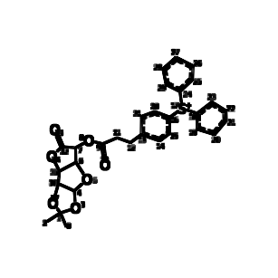 CC1(C)OC2OC3C(OC(=O)CCc4ccc([S+](c5ccccc5)c5ccccc5)cc4)C(=O)OC3C2O1